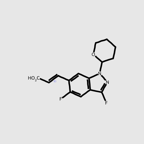 O=C(O)/C=C/c1cc2c(cc1F)c(F)nn2C1CCCCO1